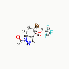 CC(=O)n1ncc2c(OCC(F)(F)F)c(Br)ccc21